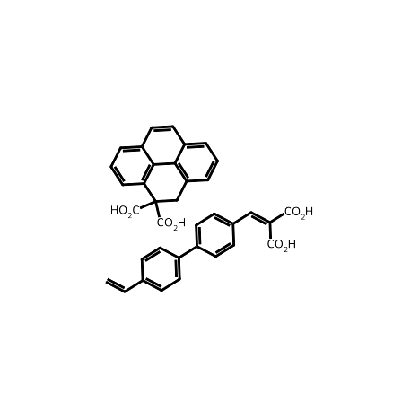 C=Cc1ccc(-c2ccc(C=C(C(=O)O)C(=O)O)cc2)cc1.O=C(O)C1(C(=O)O)Cc2cccc3ccc4cccc1c4c23